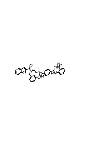 Nc1ccccc1NC(=O)c1ccc(OCCCN(Cc2cccc(O)c2)C(=O)c2cc3ccccc3o2)cc1